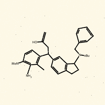 C=C(O)CC(c1ccc2c(c1)C(N(CCCC)Cc1ccccc1)CC2)c1ccc(NC)c(N)c1C